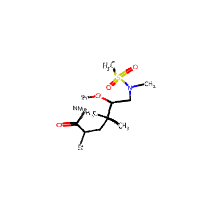 CCC(CC(C)(C)C(CN(C)S(C)(=O)=O)OC(C)C)C(=O)NC